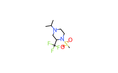 CC(C)N1CCN(S(C)(=O)=O)C(C(F)(F)F)C1